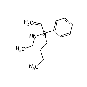 C=C[Si](CCCC)(NCC)c1ccccc1